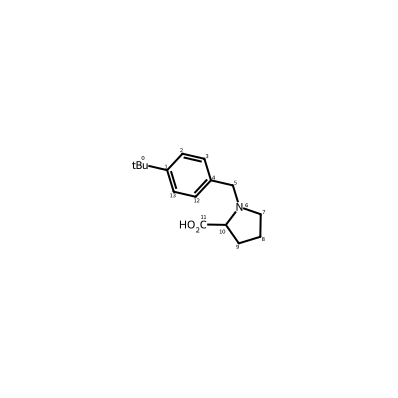 CC(C)(C)c1ccc(CN2CCCC2C(=O)O)cc1